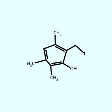 Cc1cc(C)c(CI)c(O)c1C